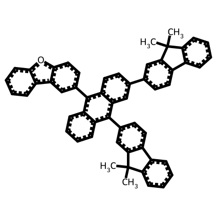 CC1(C)c2ccccc2-c2ccc(-c3ccc4c(-c5ccc6oc7ccccc7c6c5)c5ccccc5c(-c5ccc6c(c5)C(C)(C)c5ccccc5-6)c4c3)cc21